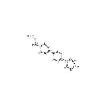 CCNc1ccc(-[n+]2ccc(-c3ccncc3)cc2)cc1